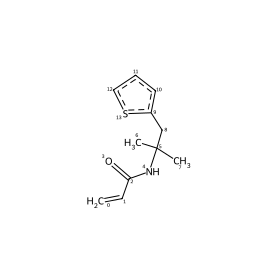 C=CC(=O)NC(C)(C)Cc1cccs1